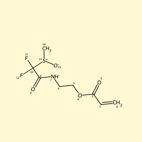 C=CC(=O)OCCNC(=O)C(F)(F)[S+](C)[O-]